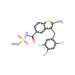 CCCCCS(=O)(=O)NC(=O)c1ccc2sc(C)c(Cc3cc(F)c(Cl)cc3Cl)c2c1